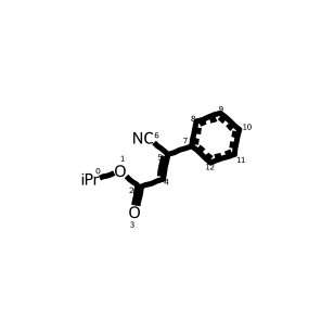 CC(C)OC(=O)C=C(C#N)c1ccccc1